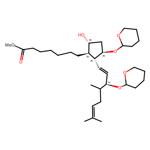 COC(=O)CCCCCC[C@@H]1[C@@H](C=C[C@@H](OC2CCCCO2)C(C)CC=C(C)C)[C@H](OC2CCCCO2)C[C@H]1O